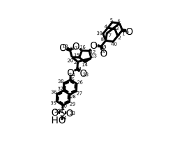 O=C1C2CC3CC1CC(C(=O)OC1C4CC5C1OC(=O)C5C4C(=O)Oc1ccc4cc(S(=O)(=O)O)ccc4c1)(C3)C2